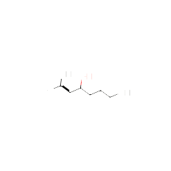 CCCCC(O)C=C(C)C